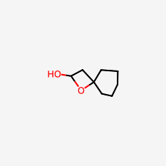 OC1CC2(CCCCC2)O1